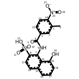 Cc1cc(C(=O)Nc2c(S(=O)(=O)O)ccc3cccc(O)c23)ccc1[N+](=O)[O-]